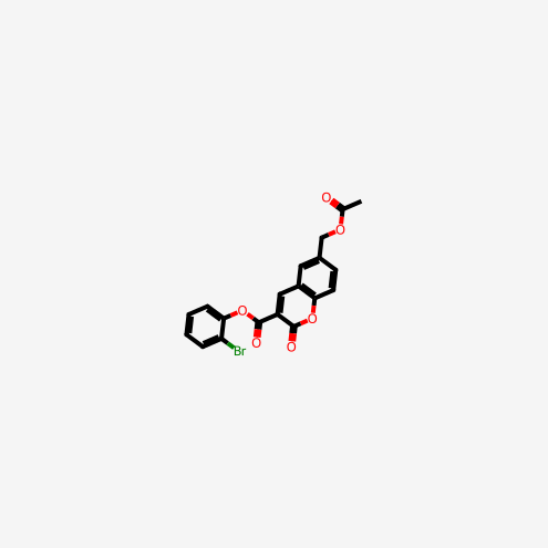 CC(=O)OCc1ccc2oc(=O)c(C(=O)Oc3ccccc3Br)cc2c1